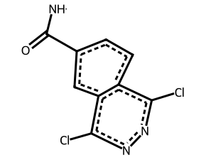 [NH]C(=O)c1ccc2c(Cl)nnc(Cl)c2c1